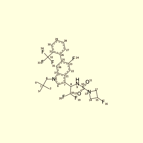 CC(C)(C)Cn1cc(C(NS(=O)(=O)N2CC(F)C2)C(F)F)c2cc(F)c(-c3ccccc3C(F)(F)F)cc21